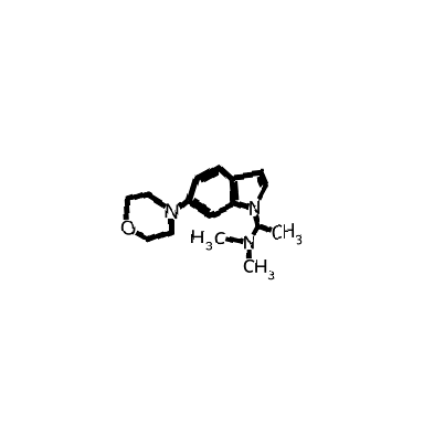 CC(N(C)C)n1ccc2ccc(N3CCOCC3)cc21